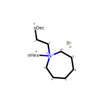 CCCCCCCCCCCC[N+]1(CCCCCC)CCCCCC1.[Br-]